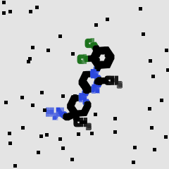 CC1=NC(N2CCC(C)(CN)CC2)=CCN1c1cccc(Cl)c1Cl